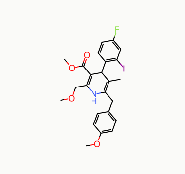 COCC1=C(C(=O)OC)C(c2ccc(F)cc2I)C(C)=C(Cc2ccc(OC)cc2)N1